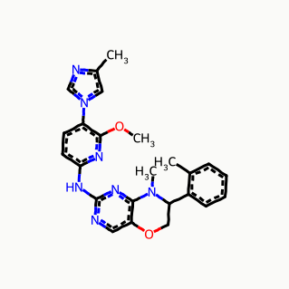 COc1nc(Nc2ncc3c(n2)N(C)C(c2ccccc2C)CO3)ccc1-n1cnc(C)c1